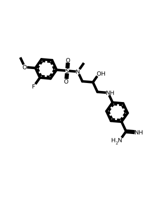 COc1ccc(S(=O)(=O)N(C)CC(O)CNc2ccc(C(=N)N)cc2)cc1F